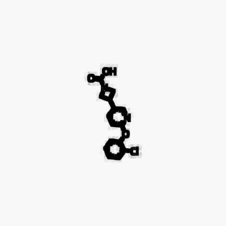 O=C(O)N1CC(c2ccc(Oc3ccccc3Cl)nc2)C1